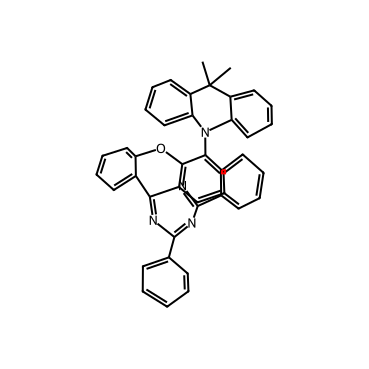 CC1(C)c2ccccc2N(c2ccccc2Oc2ccccc2-c2nc(-c3ccccc3)nc(-c3ccccc3)n2)c2ccccc21